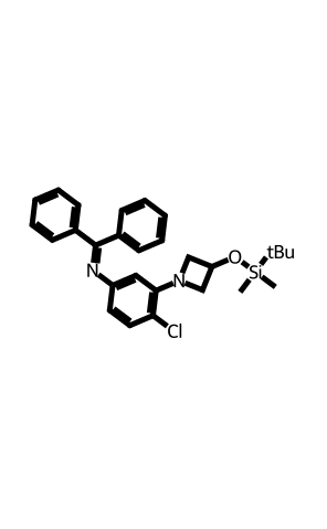 CC(C)(C)[Si](C)(C)OC1CN(c2cc(N=C(c3ccccc3)c3ccccc3)ccc2Cl)C1